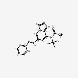 CC(C)(C)N(C(=O)O)c1cc(OCc2ccccc2)cn2nccc12